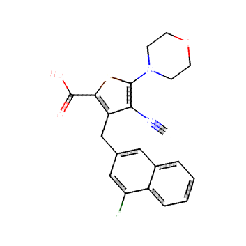 [C-]#[N+]c1c(N2CCOCC2)sc(C(=O)O)c1Cc1cc(F)c2ccccc2c1